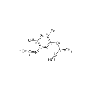 C#CC(C)Oc1cc(N=C=O)c(Cl)cc1F